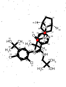 CC(C)(O)CNC(=O)c1ccc(N2[C@@H]3CC[C@H]2C[C@@H](NC(=O)C(C)(C)Oc2cc(C(C)(C)O)c(Cl)cc2Cl)C3)nc1